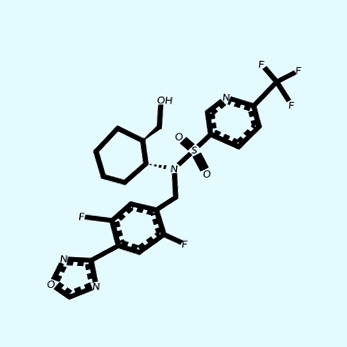 O=S(=O)(c1ccc(C(F)(F)F)nc1)N(Cc1cc(F)c(-c2ncon2)cc1F)[C@@H]1CCCC[C@H]1CO